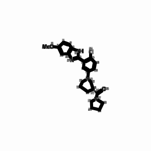 COc1ccc2[nH]c(-c3cc(N4CCC[C@@H](C(=O)N5CCCC5)C4)ccc3Cl)nc2c1